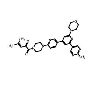 CC(C)=CC(=O)C(=O)N1CCN(c2ccc(-c3cc(-c4cnc(N)nc4)nc(N4CCOCC4)c3)cn2)CC1